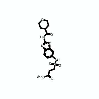 COC(=O)CCS(=O)(=O)Nc1ccc2nc(NC(=O)C3CCOCC3)sc2c1